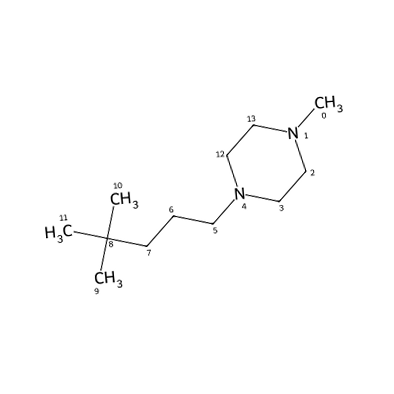 CN1CCN(CCCC(C)(C)C)CC1